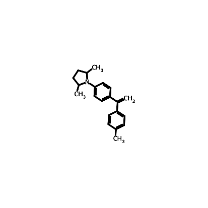 C=C(c1ccc(C)cc1)c1ccc(N2C(C)CCC2C)cc1